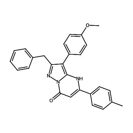 COc1ccc(-c2c(Cc3ccccc3)nn3c(=O)cc(-c4ccc(C)cc4)[nH]c23)cc1